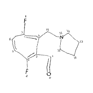 O=Cc1c(F)ccc(F)c1CN1CCCC1